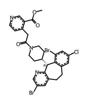 COC(=O)c1cnccc1CC(=O)N1CCC([C@H]2c3ncc(Br)cc3CCc3cc(Cl)cc(Br)c32)CC1